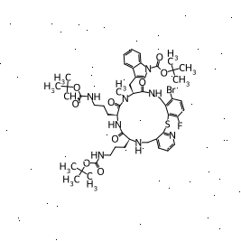 CN1C(=O)[C@H](CCCNC(=O)OC(C)(C)C)NC(=O)[C@H](CCCNC(=O)OC(C)(C)C)NCc2cccnc2Sc2c(F)ccc(Br)c2CNC(=O)[C@@H]1Cc1cn(C(=O)OC(C)(C)C)c2ccccc12